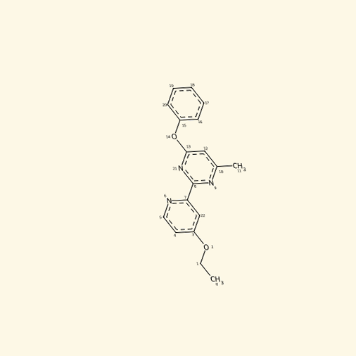 CCOc1ccnc(-c2nc(C)cc(Oc3ccccc3)n2)c1